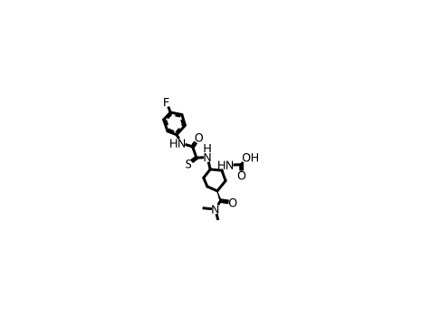 CN(C)C(=O)[C@H]1CCC(NC(=S)C(=O)Nc2ccc(F)cc2)C(NC(=O)O)C1